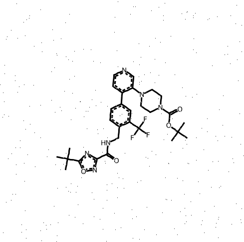 CC(C)(C)OC(=O)N1CCN(c2cnccc2-c2ccc(CNC(=O)c3noc(C(C)(C)C)n3)c(C(F)(F)F)c2)CC1